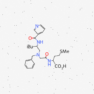 CCC(C)C(CN(CC(=O)NC(CCSC)C(=O)O)Cc1ccccc1)NC(=O)c1cccnc1